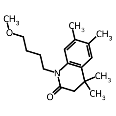 COCCCCN1C(=O)CC(C)(C)c2cc(C)c(C)cc21